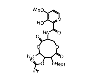 CCCCCCCC1C(=O)OCC(NC(=O)c2nccc(OC)c2O)C(=O)OC(C)C1OC(=O)C(C)C